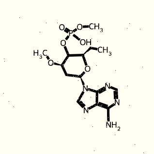 CC[C@H]1O[C@@H](n2cnc3c(N)ncnc32)C[C@@H](OC)C1OP(=O)(O)OC